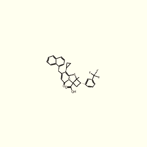 CC12Sc3c(C4CC4)c(Cc4cccc5ccccc45)cc(=O)n3C1(C(=O)O)C[C@H]2c1cccc(C(F)(F)F)c1